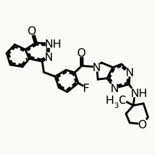 CC1(Nc2ncc3c(n2)CN(C(=O)c2cc(Cc4n[nH]c(=O)c5ccccc45)ccc2F)C3)CCOCC1